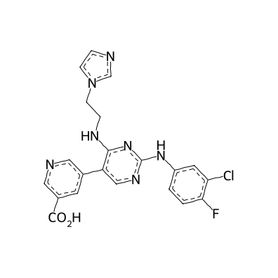 O=C(O)c1cncc(-c2cnc(Nc3ccc(F)c(Cl)c3)nc2NCCn2ccnc2)c1